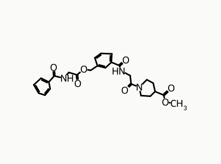 COC(=O)C1CCN(C(=O)CNC(=O)c2cccc(COC(=O)CNC(=O)c3ccccc3)c2)CC1